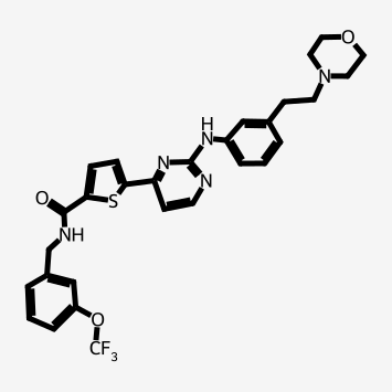 O=C(NCc1cccc(OC(F)(F)F)c1)c1ccc(-c2ccnc(Nc3cccc(CCN4CCOCC4)c3)n2)s1